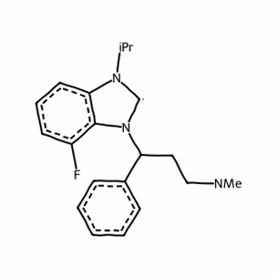 CNCCC(c1ccccc1)N1[CH]N(C(C)C)c2cccc(F)c21